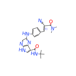 CN(C)C(=O)/C(C#N)=C/c1ccc(Nc2cnc3[nH]cc(C(=O)NC(C)(C)C)c3n2)cc1